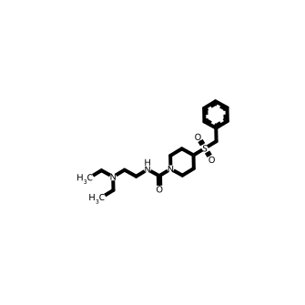 CCN(CC)CCNC(=O)N1CCC(S(=O)(=O)Cc2ccccc2)CC1